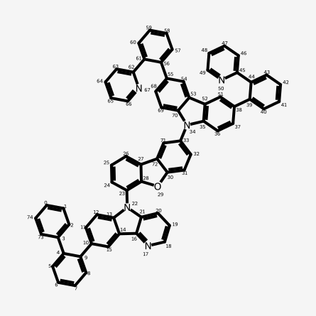 c1ccc(-c2ccccc2-c2ccc3c(c2)c2ncccc2n3-c2cccc3c2oc2ccc(-n4c5ccc(-c6ccccc6-c6ccccn6)cc5c5cc(-c6ccccc6-c6ccccn6)ccc54)cc23)cc1